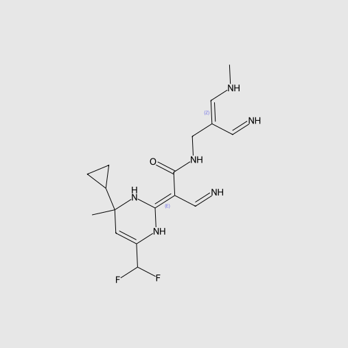 CN/C=C(\C=N)CNC(=O)/C(C=N)=C1/NC(C(F)F)=CC(C)(C2CC2)N1